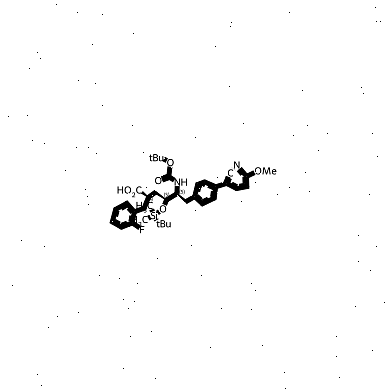 COc1ccc(-c2ccc(C[C@H](NC(=O)OC(C)(C)C)[C@H](C[C@@H](Cc3ccccc3F)C(=O)O)O[Si](C)(C)C(C)(C)C)cc2)cn1